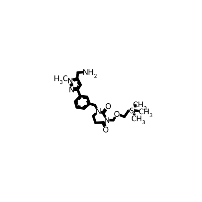 Cn1nc(-c2cccc(CN3CCC(=O)N(COCC[Si](C)(C)C)C3=O)c2)cc1CN